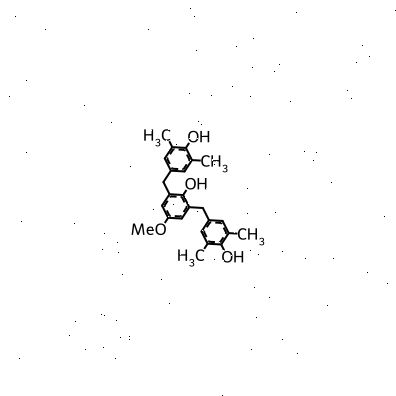 COc1cc(Cc2cc(C)c(O)c(C)c2)c(O)c(Cc2cc(C)c(O)c(C)c2)c1